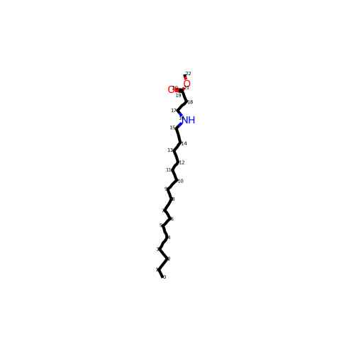 CCCCCCCCCCCCCCCCNCCC(=O)OC